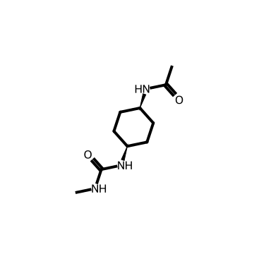 CNC(=O)N[C@H]1CC[C@@H](NC(C)=O)CC1